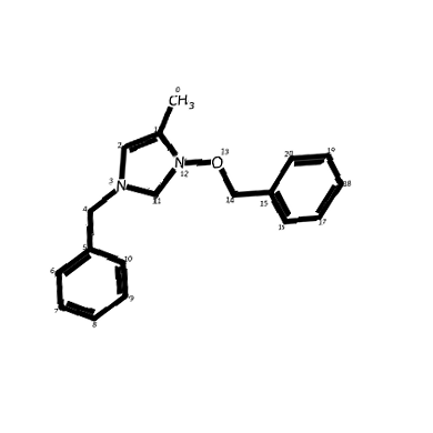 CC1=CN(Cc2ccccc2)CN1OCc1ccccc1